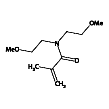 C=C(C)C(=O)N(CCOC)CCOC